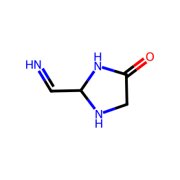 N=CC1NCC(=O)N1